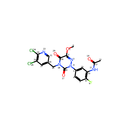 COc1nn(-c2ccc(F)c(NC(C)=O)c2)c(=O)n(Cc2cnc(Cl)c(Cl)c2)c1=O